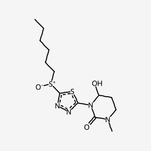 CCCCCC[S+]([O-])c1nnc(N2C(=O)N(C)CCC2O)s1